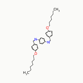 CCCCCCCOc1ccc(/C=N\c2ccc(/N=C\c3ccc(OCCCCCCC)cc3)cc2)cc1